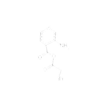 CC(C)CC(=O)OC(=O)c1ccccc1N